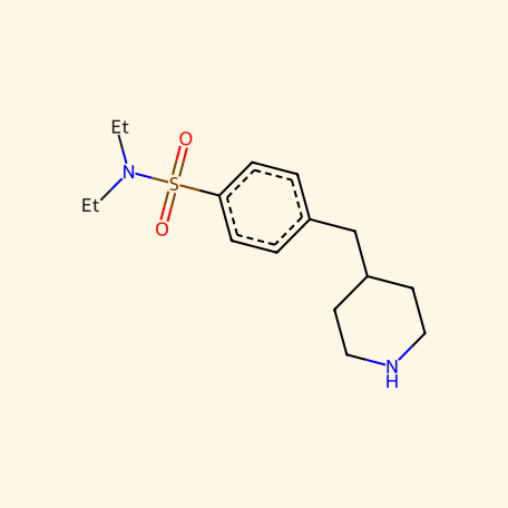 CCN(CC)S(=O)(=O)c1ccc(CC2CCNCC2)cc1